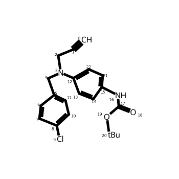 C#CCN(Cc1ccc(Cl)cc1)c1ccc(NC(=O)OC(C)(C)C)cc1